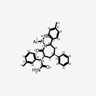 CC(=O)N(N1C(=O)[C@H](N(C(N)=O)c2cccc(C)c2)C[C@H](c2ccccc2)CC1c1ccc(C)cc1)C(C)(C)C